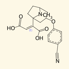 CN1C2CCC1(/C(=C\C(=O)O)C(=O)O)CC(Oc1ccc(C#N)cc1)C2